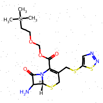 C[Si](C)(C)CCOCOC(=O)C1=C(CSc2cnns2)CS[C@@H]2C(N)C(=O)N12